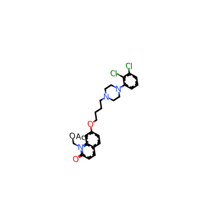 CC(=O)OCn1c(=O)ccc2ccc(OCCCCN3CCN(c4cccc(Cl)c4Cl)CC3)cc21